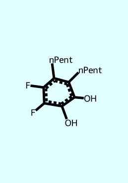 CCCCCc1c(O)c(O)c(F)c(F)c1CCCCC